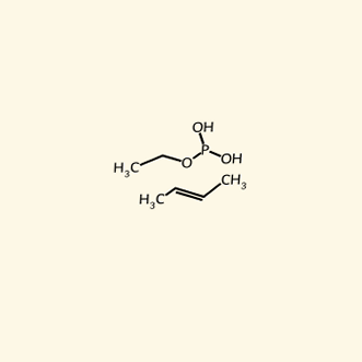 C/C=C/C.CCOP(O)O